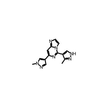 Cc1n[nH]cc1-c1nc(-c2cnn(C)c2)cc2nccn12